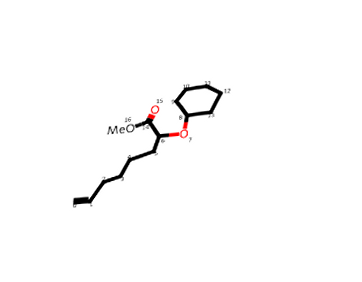 C=CCCCCC(OC1CCCCC1)C(=O)OC